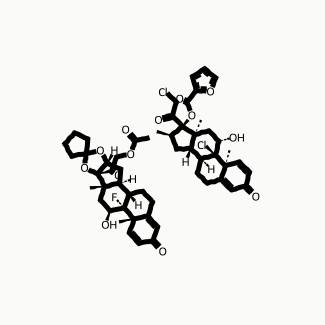 CC(=O)OCC(=O)[C@@]12OC3(CCCC3)O[C@@H]1C[C@H]1[C@@H]3CCC4=CC(=O)C=C[C@]4(C)[C@@]3(F)[C@@H](O)C[C@@]12C.C[C@@H]1C[C@H]2[C@@H]3CCC4=CC(=O)C=C[C@]4(C)[C@@]3(Cl)[C@@H](O)C[C@]2(C)[C@@]1(OC(=O)c1ccco1)C(=O)CCl